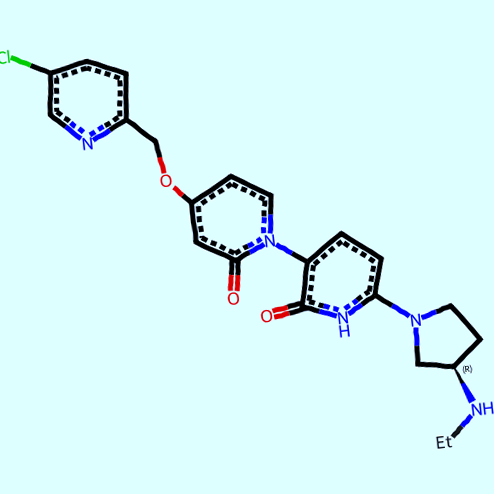 CCN[C@@H]1CCN(c2ccc(-n3ccc(OCc4ccc(Cl)cn4)cc3=O)c(=O)[nH]2)C1